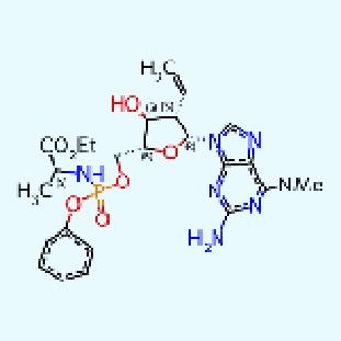 C=C[C@H]1[C@H](O)[C@@H](COP(=O)(N[C@@H](C)C(=O)OCC)Oc2ccccc2)O[C@H]1n1cnc2c(NC)nc(N)nc21